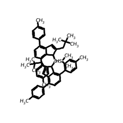 Cc1ccc(-c2ccc(-c3ccc(C)cc3)c3c2C=C(CC(C)(C)C)[CH]3[Zr]([CH]2C(CC(C)(C)C)=Cc3c(-c4ccc(C)cc4)ccc(-c4ccc(C)cc4)c32)[SiH](C)C)cc1